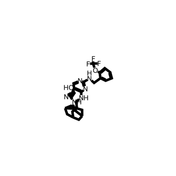 N#Cc1cnc(NCc2ccccc2OC(F)(F)F)nc1NCC12CC3CC(C1)C(NCCO)C(C3)C2